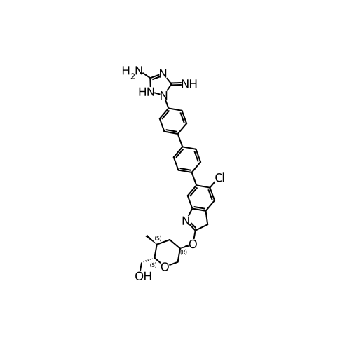 C[C@H]1C[C@@H](OC2=Nc3cc(-c4ccc(-c5ccc(-n6[nH]c(N)nc6=N)cc5)cc4)c(Cl)cc3C2)CO[C@@H]1CO